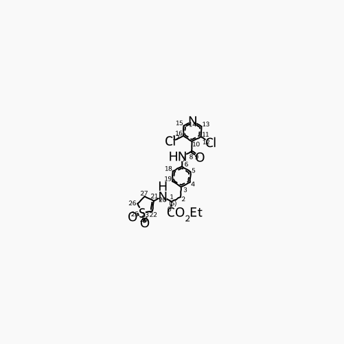 CCOC(=O)[C@H](Cc1ccc(NC(=O)c2c(Cl)cncc2Cl)cc1)NC1=CS(=O)(=O)CC1